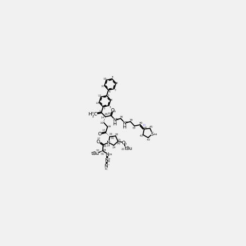 C=C(c1ccc(-c2ccccc2)cc1)[C@@H](CCC(=O)[C@@H]1C[C@@H](OC(C)(C)C)CN1C(=O)[C@@H](N=[N+]=[N-])C(C)(C)C)C(=O)NCNCC/C=C1\CCSC1